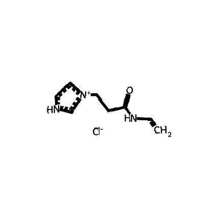 C=CNC(=O)CC[n+]1cc[nH]c1.[Cl-]